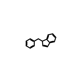 C1=Cc2ccccc2[C]1Cc1ccccc1